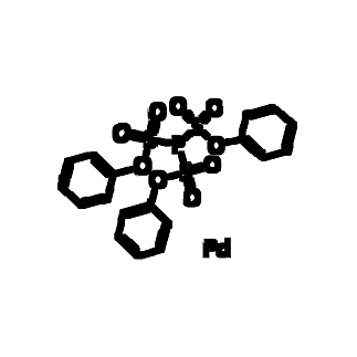 O=S(=O)(Oc1ccccc1)P(S(=O)(=O)Oc1ccccc1)S(=O)(=O)Oc1ccccc1.[Pd]